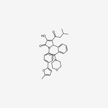 Cc1ccc(-c2ccc(N3C(=O)C(O)=C(C(=O)CC(C)C)C3c3ccccc3C(=O)N3CCOCC3)cc2)o1